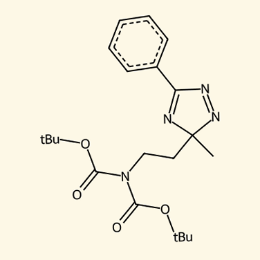 CC1(CCN(C(=O)OC(C)(C)C)C(=O)OC(C)(C)C)N=NC(c2ccccc2)=N1